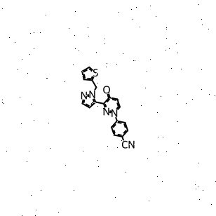 N#Cc1ccc(-n2ccc(=O)c(-c3ccnn3Cc3cccs3)n2)cc1